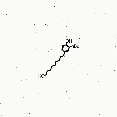 CCCCc1cc(SCCCCCCCCO)ccc1O